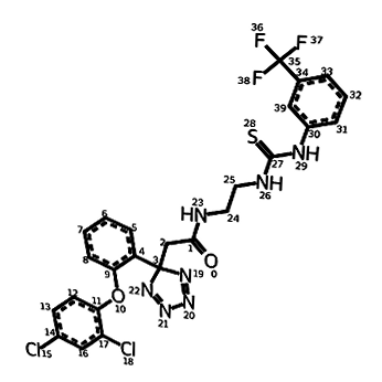 O=C(CC1(c2ccccc2Oc2ccc(Cl)cc2Cl)N=NN=N1)NCCNC(=S)Nc1cccc(C(F)(F)F)c1